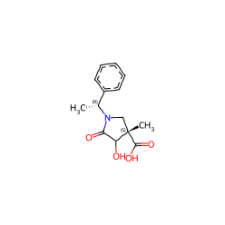 C[C@H](c1ccccc1)N1C[C@](C)(C(=O)O)C(O)C1=O